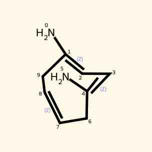 N/C1=C\C=C(/N)C/C=C\C1